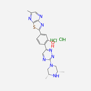 Cc1cnc2nc(-c3ccc(-c4cnc(N5C[C@@H](C)N[C@@H](C)C5)nn4)c(O)c3)sc2n1.Cl.Cl